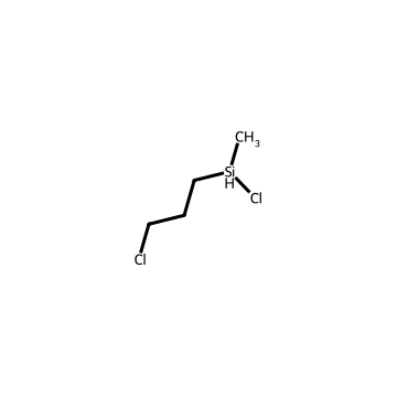 C[SiH](Cl)CCCCl